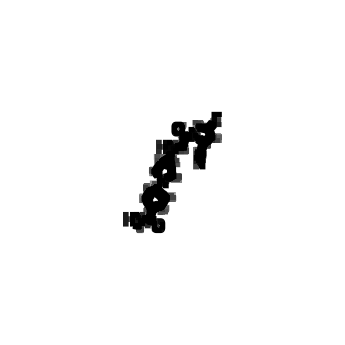 CNC(=O)c1ccc(N2CC3C(C2)C3NCC(=O)N2CC(F)CC2C#N)cc1